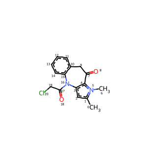 Cc1cc2c(n1C)C(=O)Cc1ccccc1N2C(=O)CCl